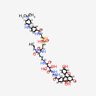 C#CCNC(=O)C(CCCCNC(=O)C(O)C(O)C(=O)NCNC(=O)c1ccc(C(=O)O)c(-c2c3ccc(=O)cc-3oc3cc(O)ccc23)c1)NC(=O)CCSP(=O)(O)PCCNC(=O)c1ccc(Nc2ccc(N(C)C)cc2)cc1